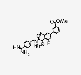 CCOC(C(=O)NCc1ccc(C(=N)N)cc1)c1c(F)cc(-c2cccc(C(=O)OC)c2)cc1F